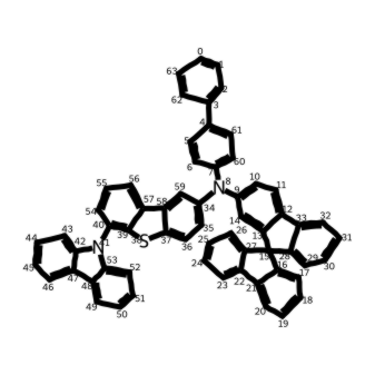 c1ccc(-c2ccc(N(c3ccc4c(c3)C3(c5ccccc5-c5ccccc53)c3ccccc3-4)c3ccc4sc5c(-n6c7ccccc7c7ccccc76)cccc5c4c3)cc2)cc1